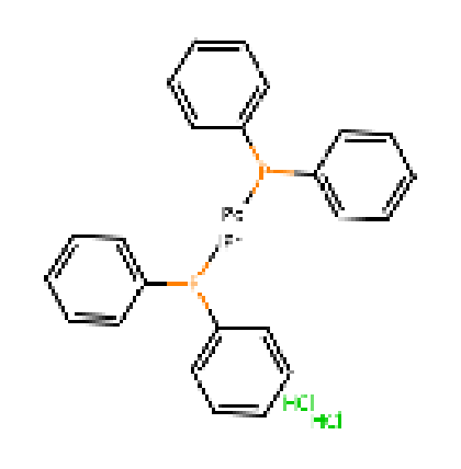 CC(C)P(c1ccccc1)c1ccccc1.Cl.Cl.[Pd][P](c1ccccc1)c1ccccc1